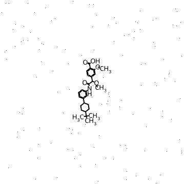 COc1cc(C(OC)C(=O)Nc2cccc(C3CCC(C(C)(C)C)CC3)c2)ccc1C(=O)O